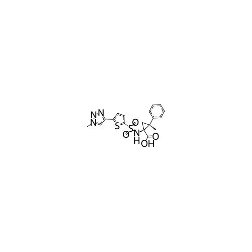 Cn1cc(-c2ccc(S(=O)(=O)N[C@@]3(C(=O)O)C[C@]3(C)c3ccccc3)s2)nn1